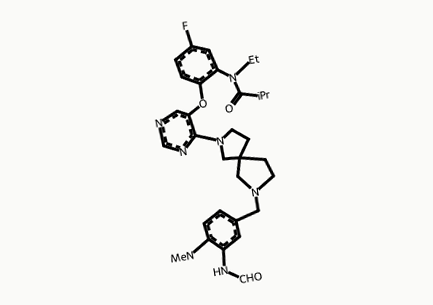 CCN(C(=O)C(C)C)c1cc(F)ccc1Oc1cncnc1N1CCC2(CCN(Cc3ccc(NC)c(NC=O)c3)C2)C1